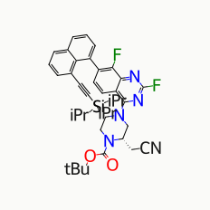 CC(C)[Si](C#Cc1cccc2cccc(-c3ccc4c(N5CCN(C(=O)OC(C)(C)C)[C@@H](CC#N)C5)nc(F)nc4c3F)c12)(C(C)C)C(C)C